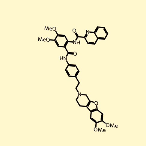 COc1cc(NC(=O)c2ccc3ccccc3n2)c(C(=O)Nc2ccc(CCN3CCc4c(oc5cc(OC)c(OC)cc45)C3)cc2)cc1OC